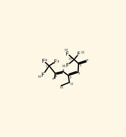 C=C(/C=C(\C=C(/C)C(F)(F)F)CC)C(F)(F)F